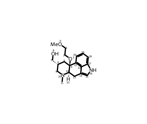 COCCO[C@]12C[C@@H](CO)CN(C)[C@@H]1Cc1c[nH]c3cccc2c13